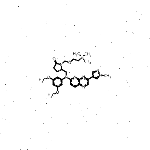 COc1cc(OC)cc(N(CC2CCC(=O)N2COCC[Si](C)(C)C)c2ccc3ncc(-c4cnn(C)c4)nc3n2)c1